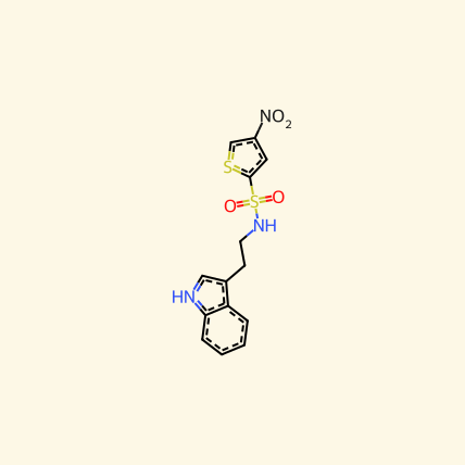 O=[N+]([O-])c1csc(S(=O)(=O)NCCc2c[nH]c3ccccc23)c1